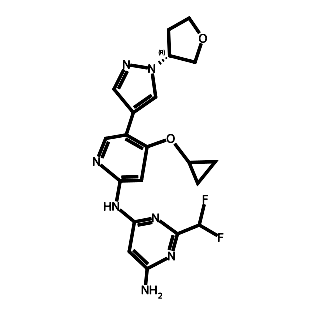 Nc1cc(Nc2cc(OC3CC3)c(-c3cnn([C@@H]4CCOC4)c3)cn2)nc(C(F)F)n1